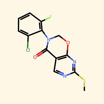 CSc1ncc2c(n1)OCN(c1c(F)cccc1Cl)C2=O